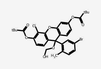 Cc1ccc(Br)cc1C1(OCO)c2ccc(OC(=O)C(C)(C)C)cc2Oc2c1ccc(OC(=O)C(C)(C)C)c2Cl